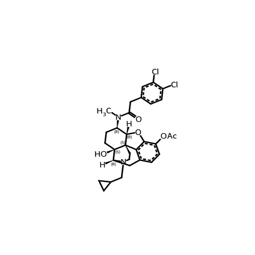 CC(=O)Oc1ccc2c3c1O[C@H]1[C@H](N(C)C(=O)Cc4ccc(Cl)c(Cl)c4)CC[C@@]4(O)[C@@H](C2)N(CC2CC2)CC[C@]314